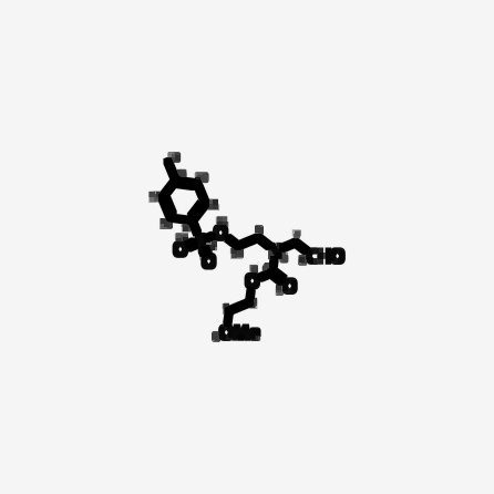 COCCOC(=O)N(CC=O)CCOS(=O)(=O)c1ccc(C)cc1